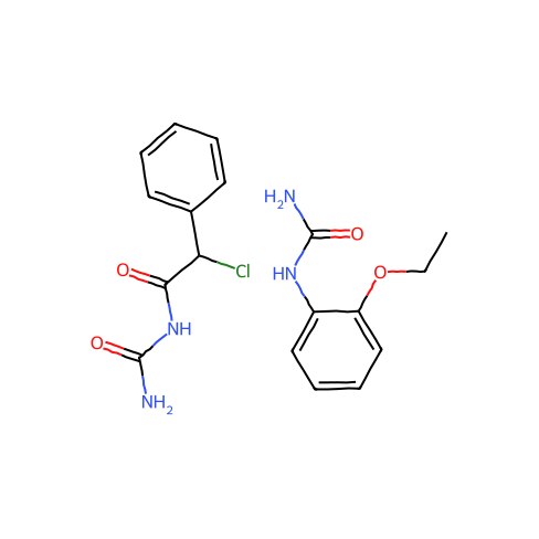 CCOc1ccccc1NC(N)=O.NC(=O)NC(=O)C(Cl)c1ccccc1